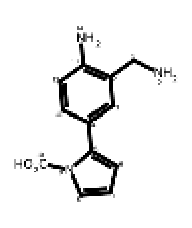 NCc1cc(-c2cccn2C(=O)O)ccc1N